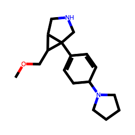 COCC1C2CNCC21C1=CCC(N2CCCC2)C=C1